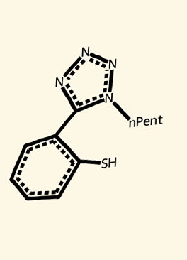 CCCCCn1nnnc1-c1ccccc1S